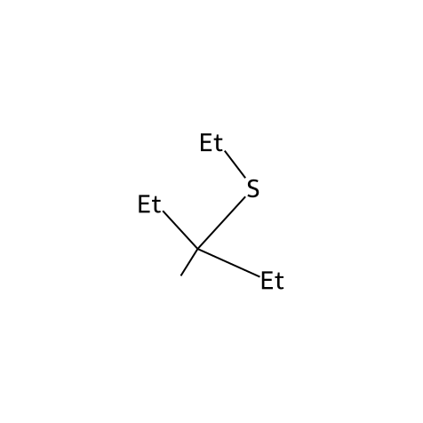 [CH2]CSC(C)(CC)CC